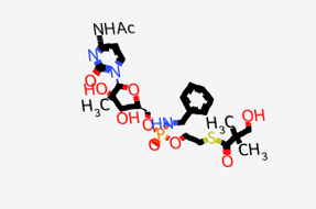 CC(=O)Nc1ccn([C@@H]2O[C@H](COP(=O)(NCc3ccccc3)OCCSC(=O)C(C)(C)CO)[C@H](O)C2(C)O)c(=O)n1